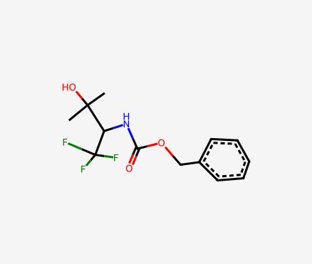 CC(C)(O)C(NC(=O)OCc1ccccc1)C(F)(F)F